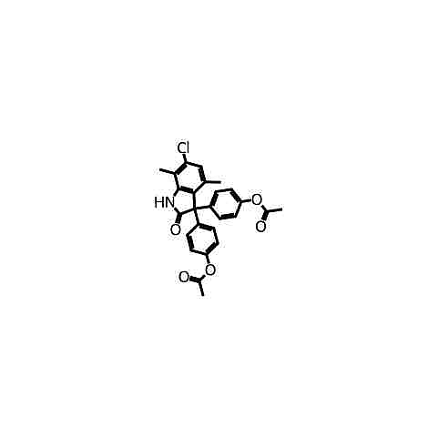 CC(=O)Oc1ccc(C2(c3ccc(OC(C)=O)cc3)C(=O)Nc3c(C)c(Cl)cc(C)c32)cc1